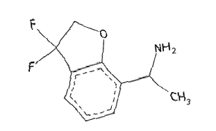 CC(N)c1cccc2c1OCC2(F)F